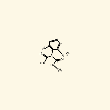 CNC(=O)N(C(=N)N)c1c(Cl)cccc1Cl.Cl